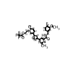 COc1cc(CNC(=O)c2cc(C3=NOC(c4ccc(=O)n(CCOC(=O)C(F)(F)F)c4)C3)nc(C)n2)ccc1F